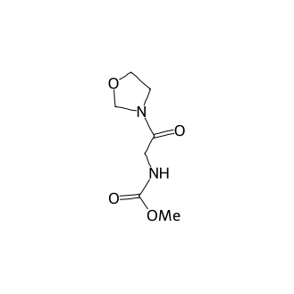 COC(=O)NCC(=O)N1CCOC1